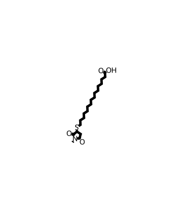 CN1C(=O)CC(SCCCCCCCCCCCCCCCC(=O)O)C1=O